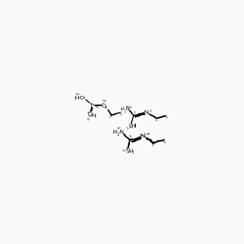 CCN=C(N)S.CCN=C(N)S.CCOP(O)O